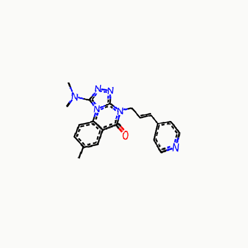 Cc1ccc2c(c1)c(=O)n(C/C=C/c1ccncc1)c1nnc(N(C)C)n21